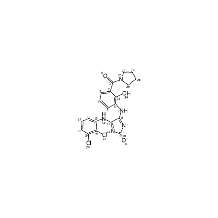 O=C(c1cccc(Nc2n[s+]([O-])nc2Nc2cccc(Cl)c2Cl)c1O)N1CCCC1